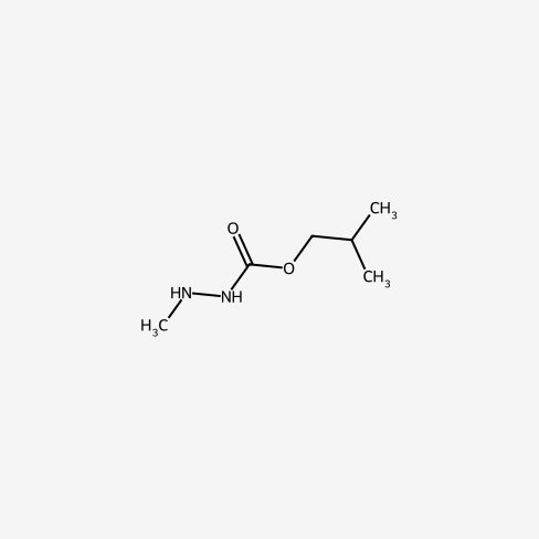 CNNC(=O)OCC(C)C